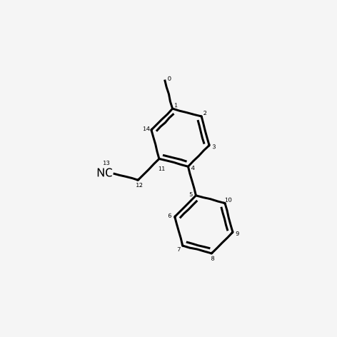 Cc1ccc(-c2ccccc2)c(CC#N)c1